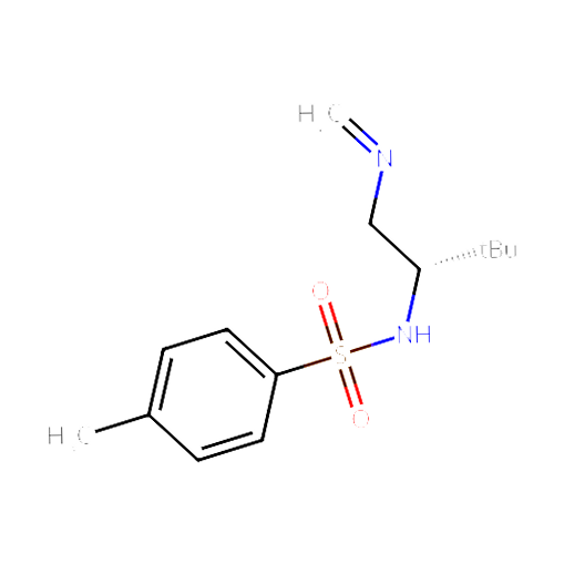 C=NC[C@@H](NS(=O)(=O)c1ccc(C)cc1)C(C)(C)C